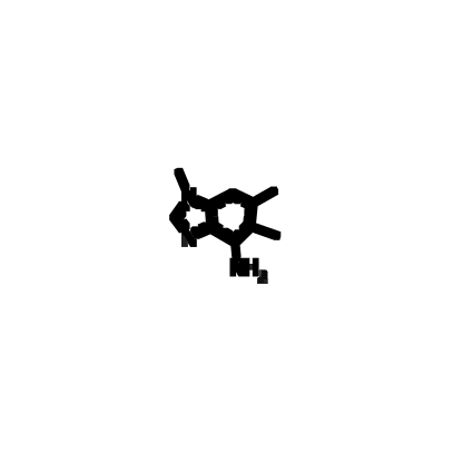 Cc1cc2c(ncn2C)c(N)c1C